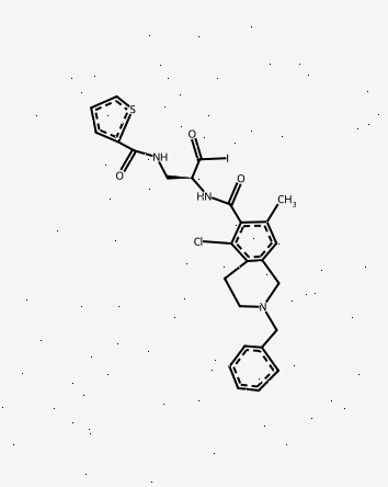 Cc1cc2c(c(Cl)c1C(=O)N[C@@H](CNC(=O)c1cccs1)C(=O)I)CCN(Cc1ccccc1)C2